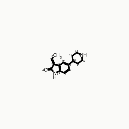 C/C=C1/C(=O)Nc2ccc(C3CCNCC3)cc21